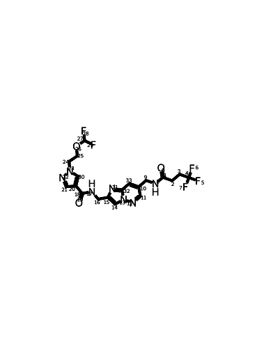 O=C(CCC(F)(F)F)NCc1cnn2cc(CNC(=O)c3cnn(CCOC(F)F)c3)nc2c1